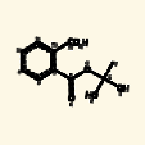 CC(O)(O)OC(=O)c1ccccc1C(=O)O